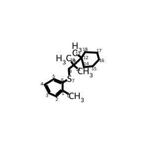 Cc1ccccc1SCC(C)(C)C1(C)CCCCC1